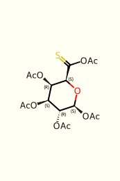 CC(=O)OC(=S)[C@H]1O[C@@H](OC(C)=O)[C@H](OC(C)=O)[C@@H](OC(C)=O)[C@H]1OC(C)=O